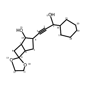 OC(C#CC1CC2C(CC23OCCO3)C1O)C1CCCCC1